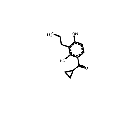 CCCc1c(O)ccc(C(=O)C2CC2)c1O